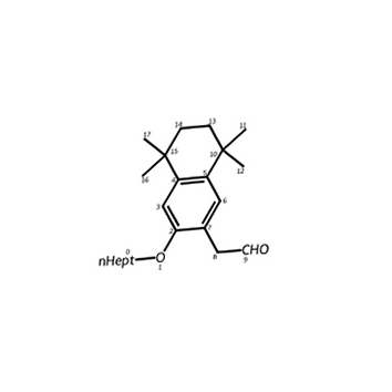 CCCCCCCOc1cc2c(cc1CC=O)C(C)(C)CCC2(C)C